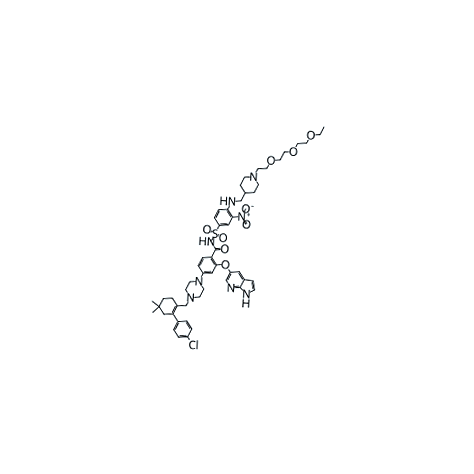 CCOCCOCCOCCN1CCC(CNc2ccc(S(=O)(=O)NC(=O)c3ccc(N4CCN(CC5=C(c6ccc(Cl)cc6)CC(C)(C)CC5)CC4)cc3Oc3cnc4[nH]ccc4c3)cc2[N+](=O)[O-])CC1